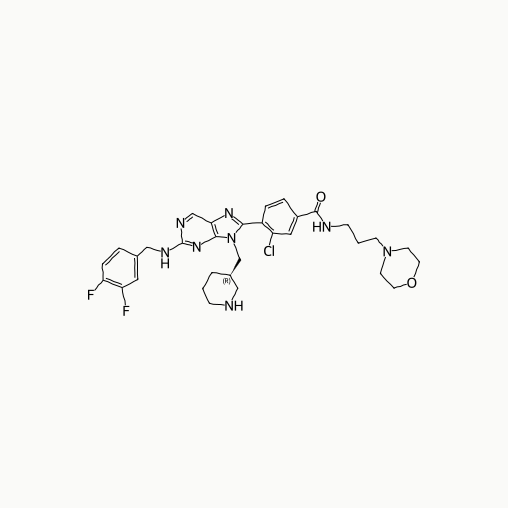 O=C(NCCCN1CCOCC1)c1ccc(-c2nc3cnc(NCc4ccc(F)c(F)c4)nc3n2C[C@@H]2CCCNC2)c(Cl)c1